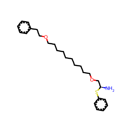 N[C@H](COCCCCCCCCCCOCCc1ccccc1)Sc1ccccc1